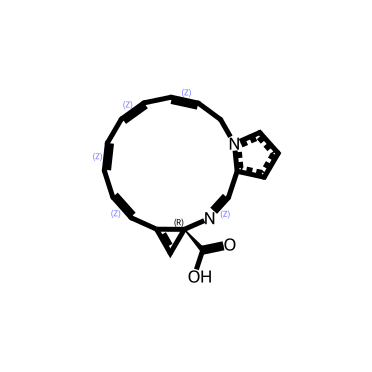 O=C(O)[C@@]12C=C1\C=C/C=C\C=C/C=C\Cn1cccc1/C=N\2